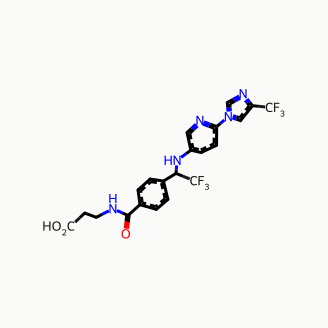 O=C(O)CCNC(=O)c1ccc(C(Nc2ccc(-n3cnc(C(F)(F)F)c3)nc2)C(F)(F)F)cc1